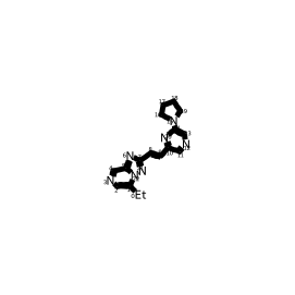 CCc1cncc2nc(C=Cc3cncc(N4CCCC4)n3)nn12